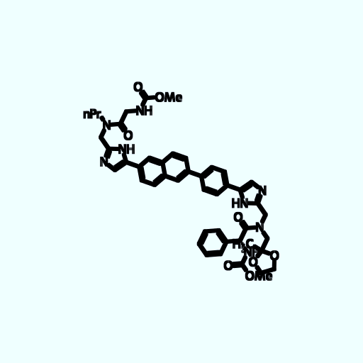 CCCN(Cc1ncc(-c2ccc3cc(-c4ccc(-c5cnc(CN(CC6(C)OCCO6)C(=O)[C@H](NC(=O)OC)c6ccccc6)[nH]5)cc4)ccc3c2)[nH]1)C(=O)CNC(=O)OC